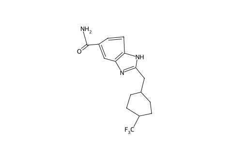 NC(=O)c1ccc2[nH]c(CC3CCC(C(F)(F)F)CC3)nc2c1